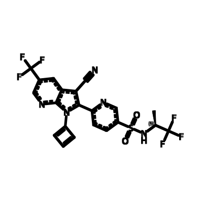 C[C@H](NS(=O)(=O)c1ccc(-c2c(C#N)c3cc(C(F)(F)F)cnc3n2C2=CC=C2)nc1)C(F)(F)F